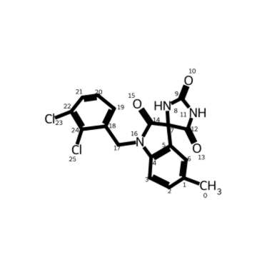 Cc1ccc2c(c1)C1(NC(=O)NC1=O)C(=O)N2Cc1cccc(Cl)c1Cl